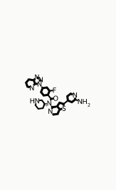 Nc1cc(-c2cc3c(N(C(=O)c4ccc(-n5nnc6cccnc65)cc4F)[C@@H]4CCCNC4)nccc3s2)ccn1